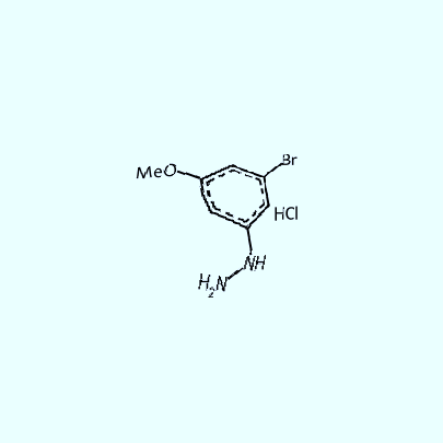 COc1cc(Br)cc(NN)c1.Cl